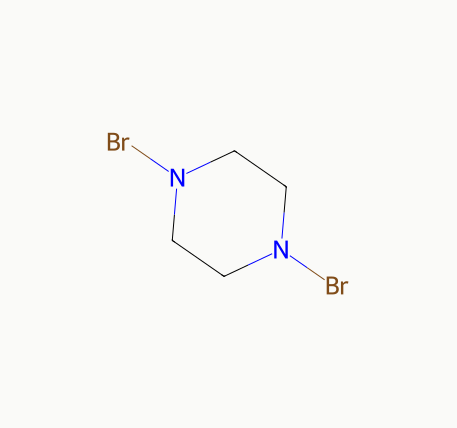 BrN1CCN(Br)CC1